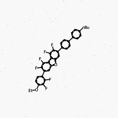 CCCCc1ccc(-c2ccc(-c3cc4oc5cc(-c6ccc(OCC)c(F)c6F)c(F)c(F)c5c4c(F)c3F)cc2)cc1